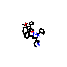 C1=Cc2ccc(-c3cc(-c4cccnc4)nc(-c4ccccc4)n3)cc2C2(c3ccccc31)c1ccccc1-c1c2c2ccccc2c2ccccc12